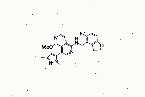 COc1nccc2c(NCc3c(F)ccc4c3CCO4)ncc(-c3cc(C)nn3C)c12